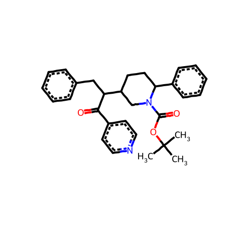 CC(C)(C)OC(=O)N1CC(C(Cc2ccccc2)C(=O)c2ccncc2)CCC1c1ccccc1